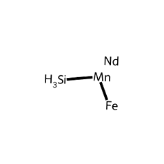 [Nd].[SiH3][Mn][Fe]